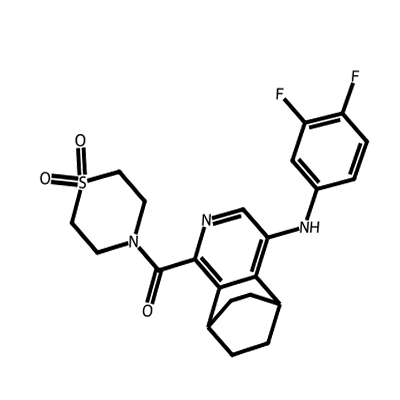 O=C(c1ncc(Nc2ccc(F)c(F)c2)c2c1C1CCC2CC1)N1CCS(=O)(=O)CC1